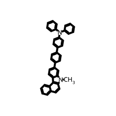 Cn1c2cc(-c3ccc(-c4ccc(N(c5ccccc5)c5ccccc5)cc4)cc3)ccc2c2c3ccccc3ccc21